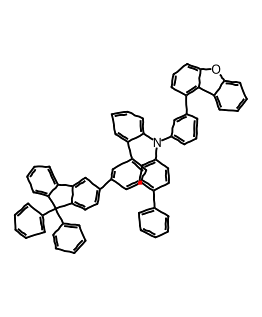 c1ccc(-c2ccc(N(c3cccc(-c4cccc5oc6ccccc6c45)c3)c3ccccc3-c3cccc(-c4ccc5c(c4)-c4ccccc4C5(c4ccccc4)c4ccccc4)c3)cc2)cc1